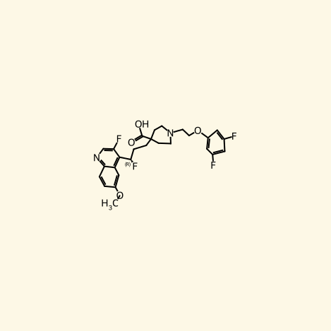 COc1ccc2ncc(F)c([C@H](F)CCC3(C(=O)O)CCN(CCOc4cc(F)cc(F)c4)CC3)c2c1